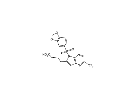 O=C(O)CCCc1cc2nc(C(F)(F)F)ccc2n1S(=O)(=O)c1ccc2c(c1)OCO2